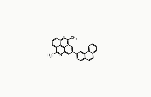 Cc1nc2cc(-c3ccc4ccc5ccccc5c4c3)cc3c(C)nc4cccc1c4c23